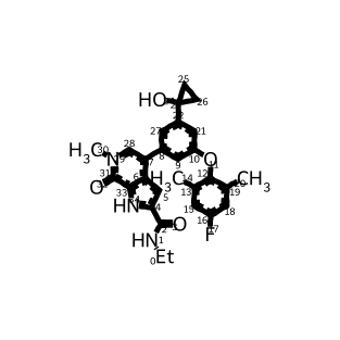 CCNC(=O)c1cc2c(-c3cc(Oc4c(C)cc(F)cc4C)cc(C4(O)CC4)c3)cn(C)c(=O)c2[nH]1